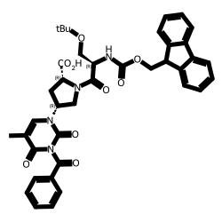 Cc1cn([C@@H]2C[C@H](C(=O)O)N(C(=O)[C@@H](COC(C)(C)C)NC(=O)OCC3c4ccccc4-c4ccccc43)C2)c(=O)n(C(=O)c2ccccc2)c1=O